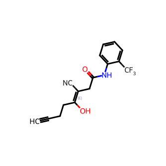 C#CCC/C(O)=C(\C#N)CC(=O)Nc1ccccc1C(F)(F)F